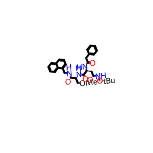 COCC(NC(=O)[C@H](CC(=O)NOC(C)(C)C)NC(=O)Cc1ccccc1)C(=O)NCc1cccc2ccccc12